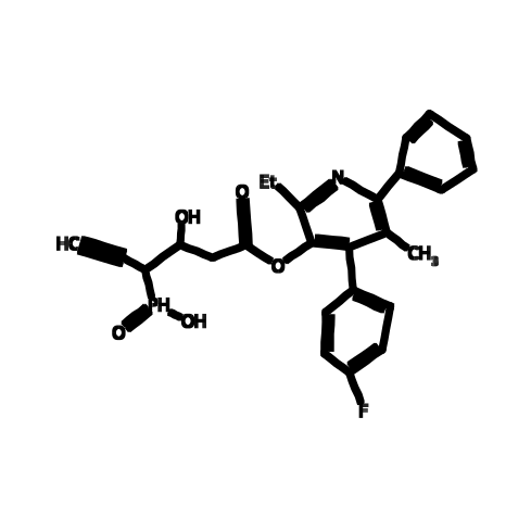 C#CC(C(O)CC(=O)Oc1c(CC)nc(-c2ccccc2)c(C)c1-c1ccc(F)cc1)[PH](=O)O